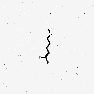 COCCC[C]=C(F)F